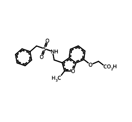 Cc1oc2c(OCC(=O)O)cccc2c1CNS(=O)(=O)Cc1ccccc1